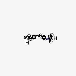 CC(C)(C)NC(=O)Oc1ccc(CCOc2ccc(/C=C3\SC(=O)NC3=O)cc2)cc1